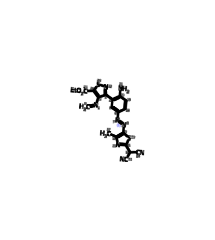 C=Nc1c(-c2cc(/N=N/c3sc(C(C#N)C#N)nc3C)ccc2N)nsc1C(=O)OCC